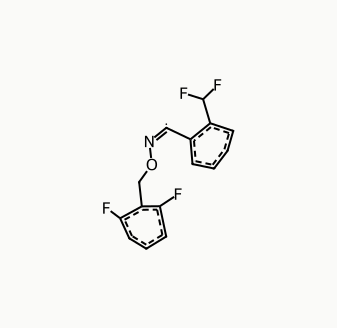 Fc1cccc(F)c1CO/N=[C]\c1ccccc1C(F)F